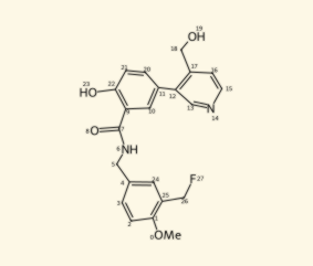 COc1ccc(CNC(=O)c2cc(-c3cnccc3CO)ccc2O)cc1CF